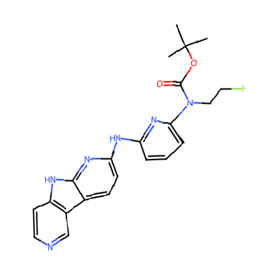 CC(C)(C)OC(=O)N(CCF)c1cccc(Nc2ccc3c(n2)[nH]c2ccncc23)n1